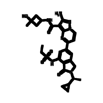 CCS(=O)(=O)Nc1cc(-c2ccn3nc(N)c(C(=O)NC4CC(C)(O)C4)c3n2)cc2c1C(=O)N([C@@H](C)C1CC1)C2